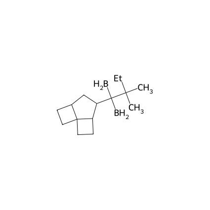 BC(B)(C1CC2CCC23CCC13)C(C)(C)CC